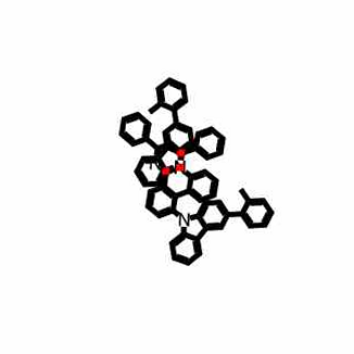 Cc1ccccc1-c1ccc2c(c1)c1ccccc1n2-c1ccccc1-c1c(-c2nc(-c3ccccc3)cc(-c3ccccc3)n2)cccc1-n1c2ccccc2c2cc(-c3ccccc3C)ccc21